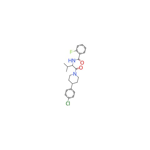 CC(C)C(NC(=O)c1ccccc1F)C(=O)N1CCC(c2ccc(Cl)cc2)CC1